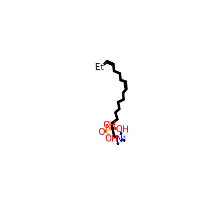 CC/C=C\CCC/C=C\CCCCCCCC(O)(C[N+](C)(C)C)P(=O)(O)O